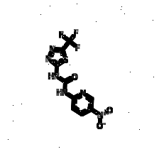 O=C(Nc1ccc([N+](=O)[O-])cn1)Nc1nnc(C(F)(F)F)s1